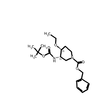 CCO[C@H]1CCN(C(=O)OCc2ccccc2)C[C@@H]1NC(=O)OC(C)(C)C